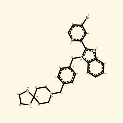 Brc1ccnc(-c2nc3ccccc3n2Cc2ccc(CN3CCC4(CC3)OCCO4)cc2)c1